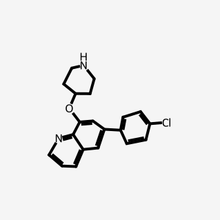 Clc1ccc(-c2cc(OC3CCNCC3)c3ncccc3c2)cc1